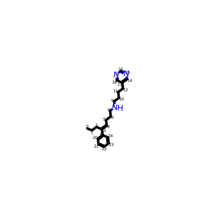 CCC/C(=C\CCCNCCCCc1cncnc1)c1ccccc1